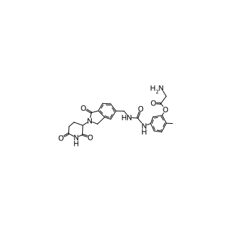 Cc1ccc(NC(=O)NCc2ccc3c(c2)CN(C2CCC(=O)NC2=O)C3=O)cc1OC(=O)CN